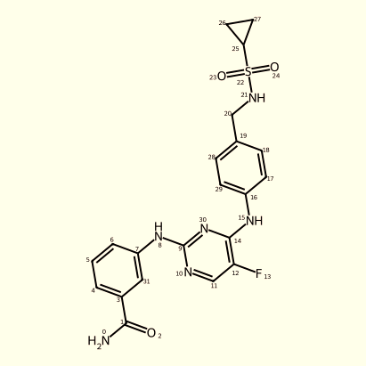 NC(=O)c1cccc(Nc2ncc(F)c(Nc3ccc(CNS(=O)(=O)C4CC4)cc3)n2)c1